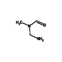 CN(C=O)CN